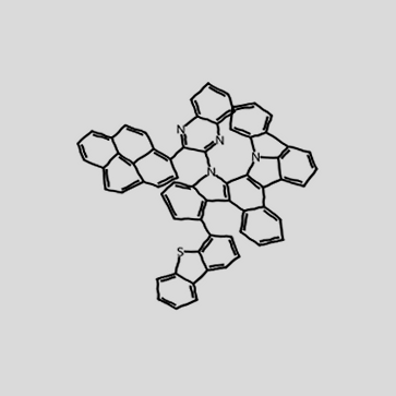 c1cc2ccc3ccc(-c4nc5ccccc5nc4-n4c5cccc(-c6cccc7c6sc6ccccc67)c5c5c6ccccc6c6c7cccc8c9ccccc9n(c87)c6c54)c4ccc(c1)c2c34